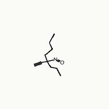 C#CC(CCC)(CCCC)N=O